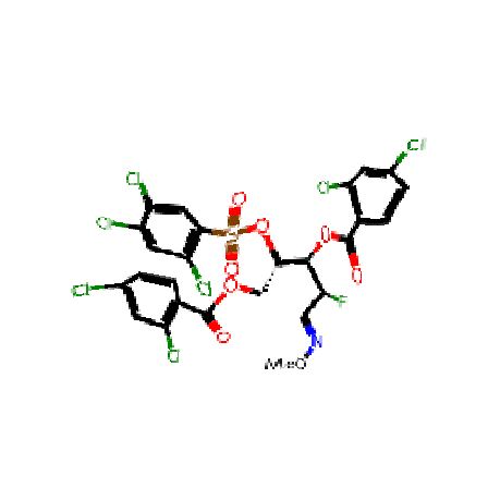 CON=C[C@H](F)[C@H](OC(=O)c1ccc(Cl)cc1Cl)[C@H](COC(=O)c1ccc(Cl)cc1Cl)OS(=O)(=O)c1cc(Cl)c(Cl)cc1Cl